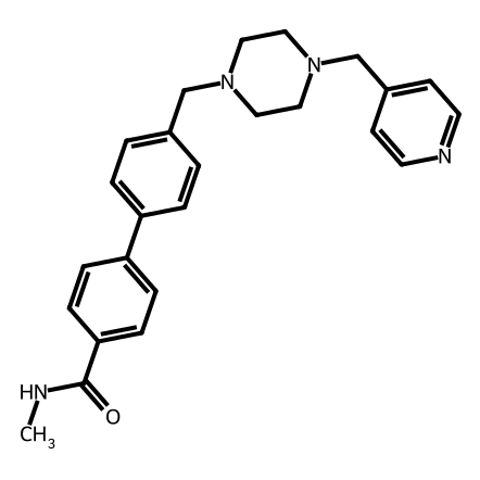 CNC(=O)c1ccc(-c2ccc(CN3CCN(Cc4ccncc4)CC3)cc2)cc1